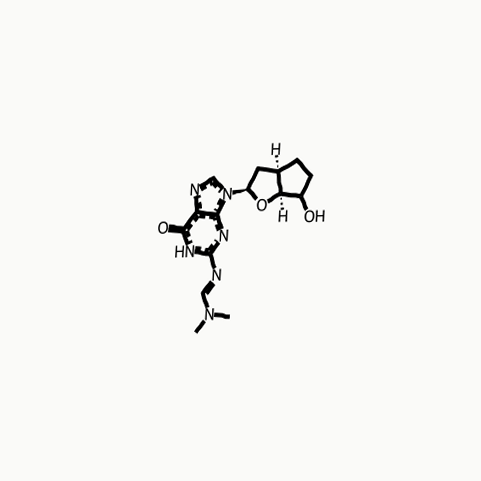 CN(C)/C=N/c1nc2c(ncn2[C@H]2C[C@H]3CCC(O)[C@H]3O2)c(=O)[nH]1